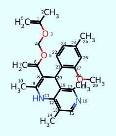 C=C(C)OCOC(=C)C1=C(C)Nc2c(C)cnc(C)c2C1c1ccc(C)cc1OC